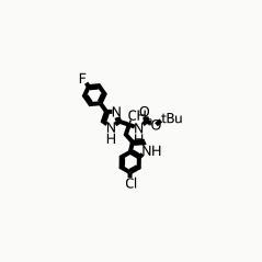 CC(C)(C)OC(=O)N[C@@](C)(Cc1c[nH]c2cc(Cl)ccc12)c1nc(-c2ccc(F)cc2)c[nH]1